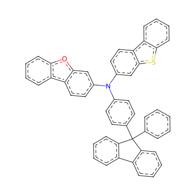 c1ccc(C2(c3ccc(N(c4ccc5c(c4)oc4ccccc45)c4ccc5c(c4)sc4ccccc45)cc3)c3ccccc3-c3ccccc32)cc1